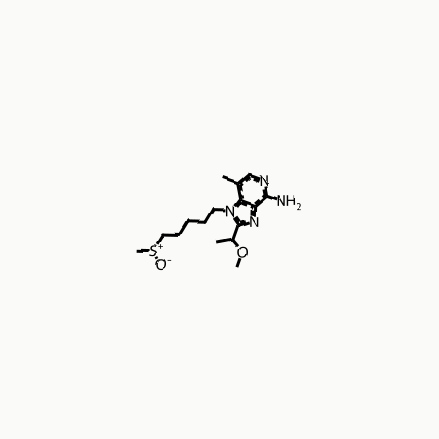 COC(C)c1nc2c(N)ncc(C)c2n1CCCCC[S+](C)[O-]